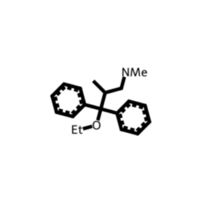 CCOC(c1ccccc1)(c1ccccc1)C(C)CNC